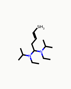 CCN(C(C)C)C(CC=C[SiH3])N(CC)C(C)C